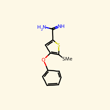 CSc1sc(C(=N)N)cc1Oc1ccccc1